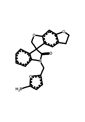 Bc1ccc(CN2C(=O)C3(COc4cc5c(cc43)CCO5)c3ccccc32)o1